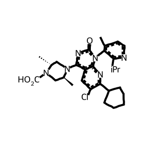 Cc1ccnc(C(C)C)c1-n1c(=O)nc(N2C[C@@H](C)N(C(=O)O)C[C@@H]2C)c2cc(Cl)c(C3CCCCC3)nc21